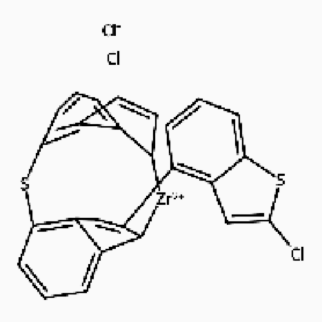 Clc1cc2c(C3=Cc4c5cccc4[CH]3[Zr+2][CH]3C=Cc4c(cccc43)S5)cccc2s1.[Cl-].[Cl-]